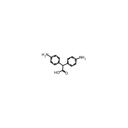 Nc1ccc(C(C(=O)O)c2ccc(N)cc2)cc1